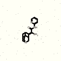 BC(C(=O)Nc1ccccn1)=C1C2CC3CC1CN(C3)C2